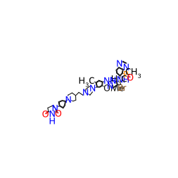 COc1cc(N2CCN(CCC3CCN(c4ccc(N5CCC(=O)NC5=O)cc4)CC3)CC2)c(C)cc1Nc1ncc(Br)c(Nc2ccc3nccnc3c2P(C)(C)=O)n1